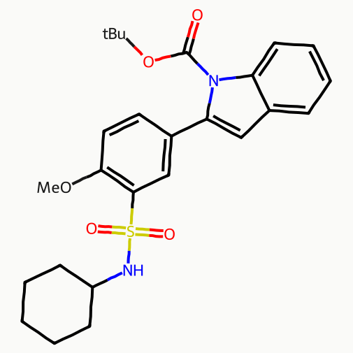 COc1ccc(-c2cc3ccccc3n2C(=O)OC(C)(C)C)cc1S(=O)(=O)NC1CCCCC1